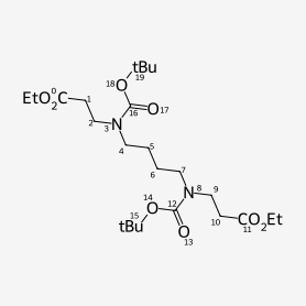 CCOC(=O)CCN(CCCCN(CCC(=O)OCC)C(=O)OC(C)(C)C)C(=O)OC(C)(C)C